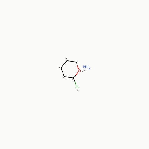 ClC1CCCCO1.N